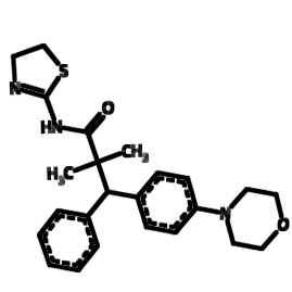 CC(C)(C(=O)NC1=NCCS1)C(c1ccccc1)c1ccc(N2CCOCC2)cc1